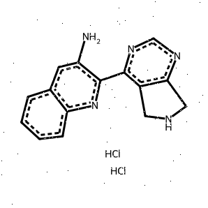 Cl.Cl.Nc1cc2ccccc2nc1-c1ncnc2c1CNC2